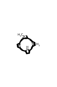 Cn1c2ccc1cc1ccc(cc3nc(cc4cc(c2)C=[N+]4C)C=C3)[nH]1